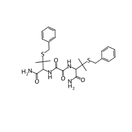 CC(C)(SCc1ccccc1)C(NC(=O)C(=O)NC(C(N)=O)C(C)(C)SCc1ccccc1)C(N)=O